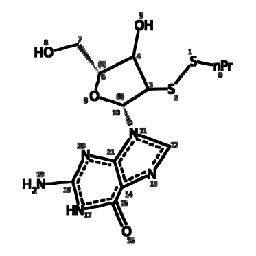 CCCSSC1C(O)[C@@H](CO)O[C@H]1n1cnc2c(=O)[nH]c(N)nc21